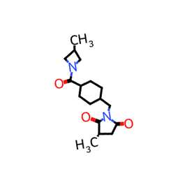 CC1CN(C(=O)C2CCC(CN3C(=O)C[C@@H](C)C3=O)CC2)C1